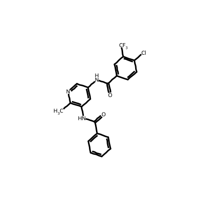 Cc1ncc(NC(=O)c2ccc(Cl)c(C(F)(F)F)c2)cc1NC(=O)c1ccccc1